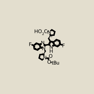 CC(C)(C)OC(=O)N1CCC[C@H]1Cn1c(-c2[nH]c3cc(F)ccc3c2C[C@@H]2CCCN2C(=O)O)nc2cc(F)ccc21